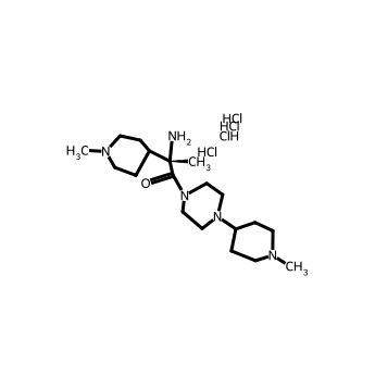 CN1CCC(N2CCN(C(=O)[C@@](C)(N)C3CCN(C)CC3)CC2)CC1.Cl.Cl.Cl.Cl